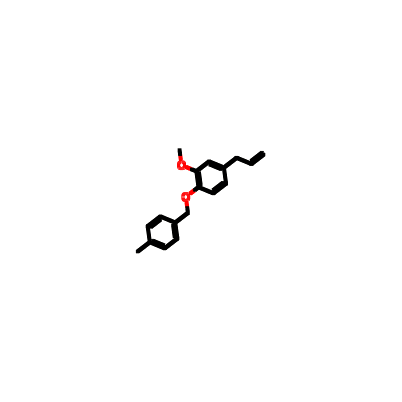 C=CCc1ccc(OCc2ccc(C)cc2)c(OC)c1